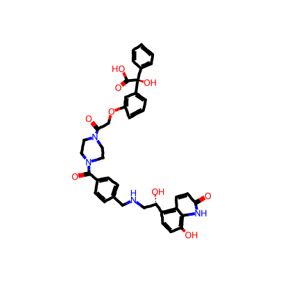 O=C(COc1cccc([C@](O)(C(=O)O)c2ccccc2)c1)N1CCN(C(=O)c2ccc(CNC[C@H](O)c3ccc(O)c4[nH]c(=O)ccc34)cc2)CC1